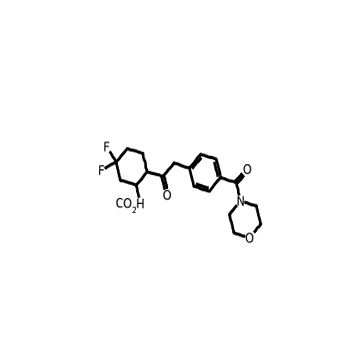 O=C(O)C1CC(F)(F)CCC1C(=O)Cc1ccc(C(=O)N2CCOCC2)cc1